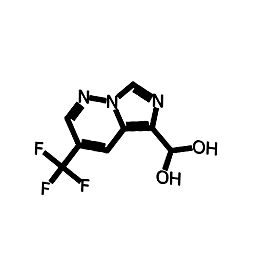 OC(O)c1ncn2ncc(C(F)(F)F)cc12